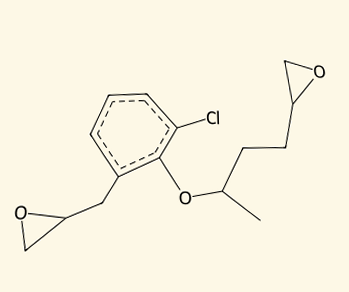 CC(CCC1CO1)Oc1c(Cl)cccc1CC1CO1